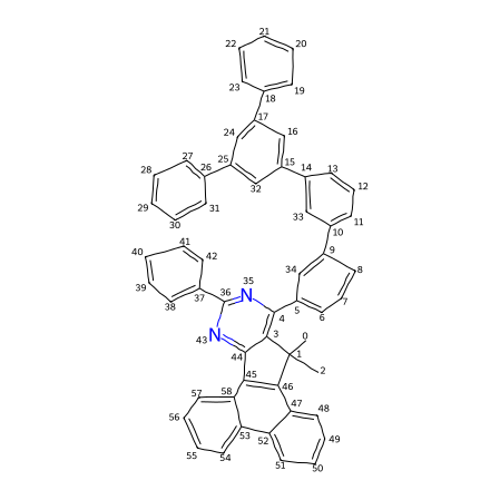 CC1(C)c2c(-c3cccc(-c4cccc(-c5cc(-c6ccccc6)cc(-c6ccccc6)c5)c4)c3)nc(-c3ccccc3)nc2-c2c1c1ccccc1c1ccccc21